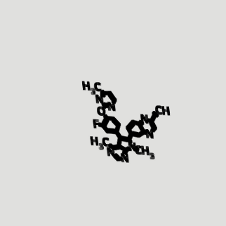 C#Cc1cnc2cc(-c3c(-c4ccc(Oc5nccc(C)n5)c(F)c4)c4c(C)ncnc4n3C)ccc2n1